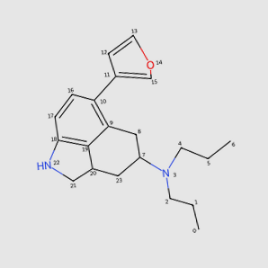 CCCN(CCC)C1Cc2c(-c3ccoc3)ccc3c2C(CN3)C1